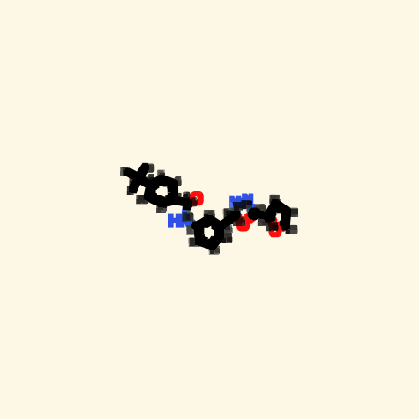 CC(C)(C)c1ccc(C(=O)Nc2cccc(-c3nnc(-c4ccco4)o3)c2)cc1